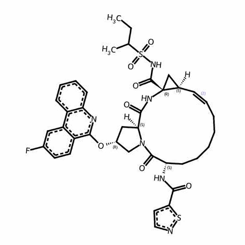 CCC(C)S(=O)(=O)NC(=O)[C@@]12C[C@H]1/C=C\CCCCC[C@H](NC(=O)c1ccns1)C(=O)N1C[C@H](Oc3nc4ccccc4c4cc(F)ccc34)C[C@H]1C(=O)N2